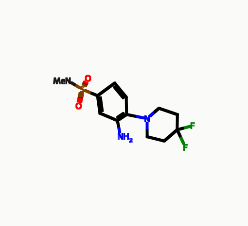 CNS(=O)(=O)c1ccc(N2CCC(F)(F)CC2)c(N)c1